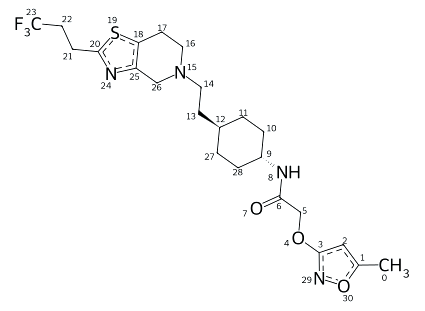 Cc1cc(OCC(=O)N[C@H]2CC[C@H](CCN3CCc4sc(CCC(F)(F)F)nc4C3)CC2)no1